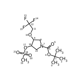 CC(C)(C)OC(=O)N1CC(OCC(F)(F)F)C(OS(C)(=O)=O)C1